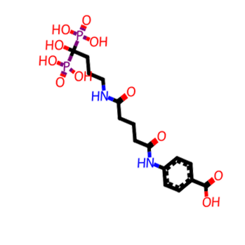 O=C(CCCC(=O)Nc1ccc(C(=O)O)cc1)NCCCC(O)(P(=O)(O)O)P(=O)(O)O